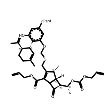 C=CCOC(=O)O[C@H](C)[C@H]1C(=O)C2C(C(=O)OCC=C)=C(CSCOc3cc(CCCCC)cc(O)c3[C@@H]3C=C(C)CC[C@H]3C(=C)C)[C@H](C)[C@@H]21